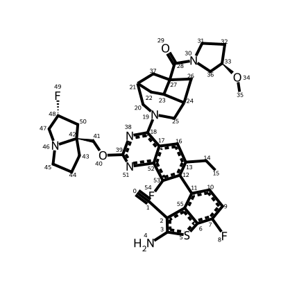 C#Cc1c(N)sc2c(F)ccc(-c3c(CC)cc4c(N5CC6CC7C(C5)CC7(C(=O)N5CC[C@@H](OC)C5)C6)nc(OC[C@@]56CCCN5C[C@H](F)C6)nc4c3F)c12